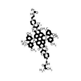 C=C(C)C(=O)NCCN1CCN(C(=O)C(CC(F)(F)F)N2C(=O)c3cc(Oc4cc(C)cc(C)c4)c4c5c(Oc6cc(C)cc(C)c6)cc6c7c(cc(Oc8cc(C)cc(C)c8)c(c8c(Oc9cc(C)cc(C)c9)cc(c3c48)C2=O)c75)C(=O)N(C(CC(F)(F)F)C(=O)N2CCN(CCNC(=O)C(C)C)CC2)C6=O)CC1